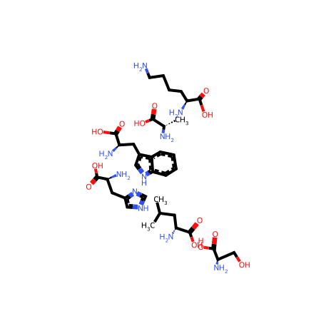 CC(C)C[C@@H](N)C(=O)O.C[C@H](N)C(=O)O.NCCCC[C@H](N)C(=O)O.N[C@@H](Cc1c[nH]cn1)C(=O)O.N[C@H](CO)C(=O)O.N[C@H](Cc1c[nH]c2ccccc12)C(=O)O